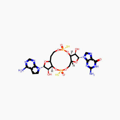 Nc1nc2c(ncn2[C@@H]2O[C@@H]3CO[P@@](=O)(S)O[C@@H]4C(CCO[P@](=O)(S)O[C@H]3[C@H]2O)O[C@@H](n2ccc3c(N)ncnc32)[C@@H]4O)c(=O)[nH]1